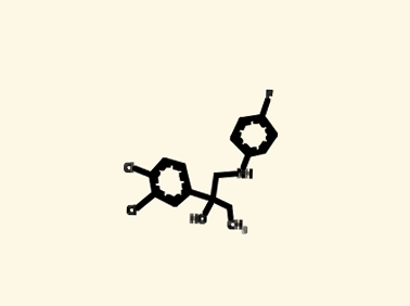 CCC(O)(CNc1ccc(F)cc1)c1ccc(Cl)c(Cl)c1